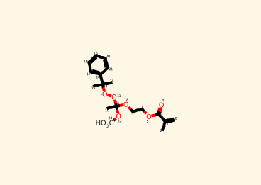 C=C(C)C(=O)OCCOC(C)(OOC(C)(C)c1ccccc1)OC(=O)O